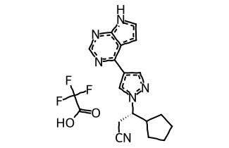 N#CC[C@@H](C1CCCC1)n1cc(-c2ncnc3[nH]ccc23)cn1.O=C(O)C(F)(F)F